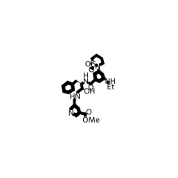 CCNc1cc(C(=O)N[C@@H](Cc2ccccc2)[C@H](O)CNCc2cncc(C(=O)OC)c2)cc(N2CCCCS2(=O)=O)c1